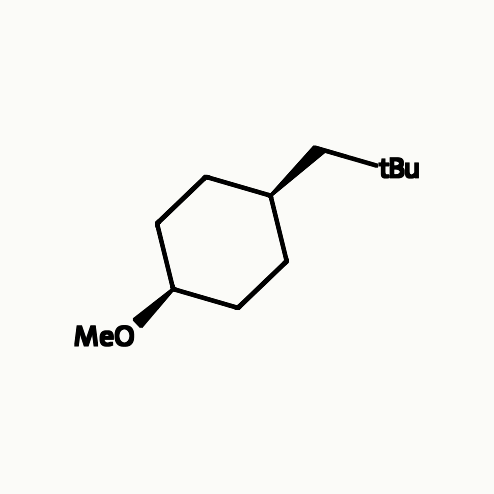 CO[C@H]1CC[C@@H](CC(C)(C)C)CC1